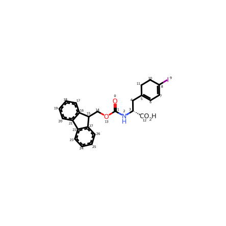 O=C(N[C@H](CC1=CC=C(I)CC1)C(=O)O)OCC1c2ccccc2-c2ccccc21